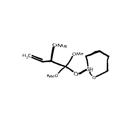 C=CC(OC)C(OC)(OC)O[SiH]1CCCCO1